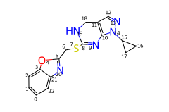 c1ccc2oc(CSC3=Nc4c(cnn4C4CC4)CN3)nc2c1